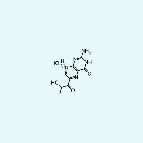 CC(O)C(=O)c1cnc2nc(N)[nH]c(=O)c2n1.Cl.Cl